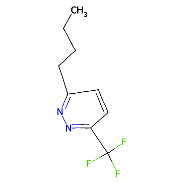 CCCCc1ccc(C(F)(F)F)nn1